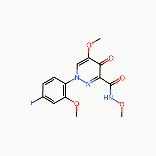 CONC(=O)c1nn(-c2ccc(I)cc2OC)cc(OC)c1=O